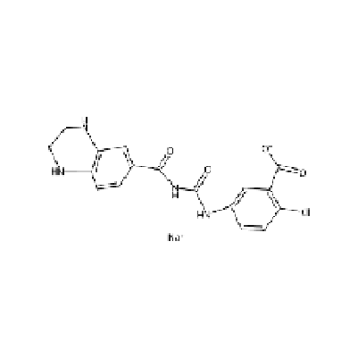 O=C(NC(=O)c1ccc2c(c1)NCCN2)Nc1ccc(Cl)c(C(=O)[O-])c1.[Na+]